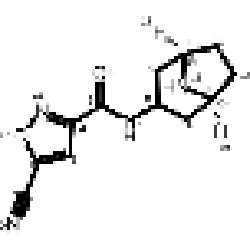 N#Cc1cc(C(=O)NC2C[C@H]3CC[C@@H](C2)N3)no1